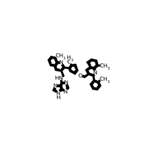 Cc1ccccc1-c1nc2c(C)cccc2cc1C=O.Cc1ccccc1-c1nc2c(C)cccc2cc1CNc1ncnc2[nH]cnc12